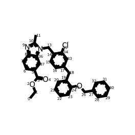 CCOC(=O)c1ccc2nc(C)n(Cc3ccc(Cc4ccccc4OCc4ccccc4)cc3Cl)c2c1